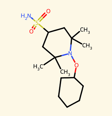 CC1(C)CC(S(N)(=O)=O)CC(C)(C)N1OC1CCCCC1